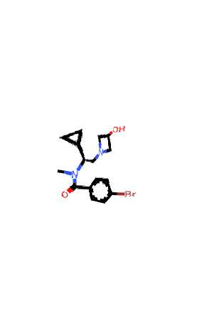 CN(C(=O)c1ccc(Br)cc1)[C@H](CN1CC(O)C1)C1CC1